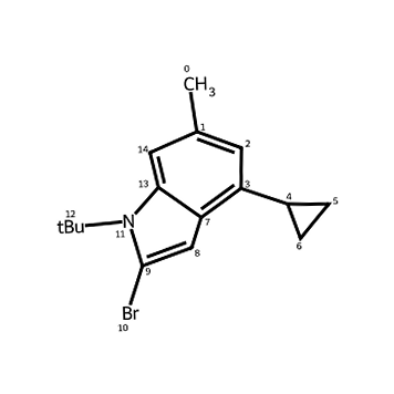 Cc1cc(C2CC2)c2cc(Br)n(C(C)(C)C)c2c1